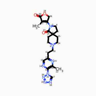 CC1=C(N2CCC3(CCN(CCc4cnc(-n5cnnn5)c(C)n4)CC3)C2=O)COC1=O